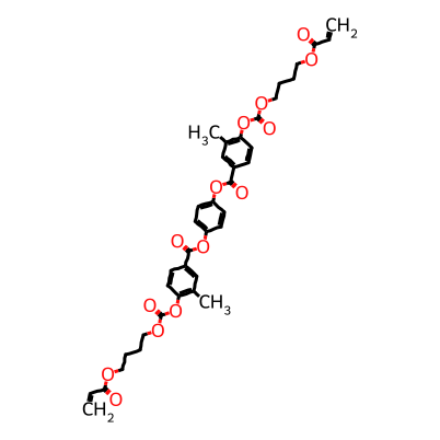 C=CC(=O)OCCCCOC(=O)Oc1ccc(C(=O)Oc2ccc(OC(=O)c3ccc(OC(=O)OCCCCOC(=O)C=C)c(C)c3)cc2)cc1C